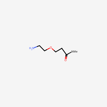 CNC(=O)CCOCCN